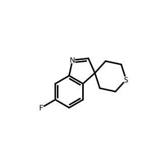 Fc1ccc2c(c1)N=CC21CCSCC1